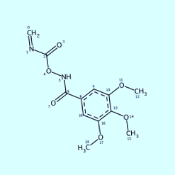 C=NC(=O)ONC(=O)c1cc(OC)c(OC)c(OC)c1